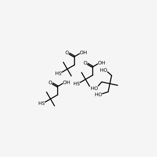 CC(C)(S)CC(=O)O.CC(C)(S)CC(=O)O.CC(C)(S)CC(=O)O.CC(CO)(CO)CO